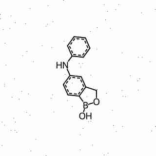 OB1OCc2cc(Nc3ccccc3)ccc21